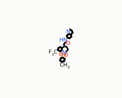 Cc1ccc(S(=O)(=O)N2CCC/C(=C\C(=O)Nc3ccc4cccnc4c3)c3ccc(C(F)(F)F)cc32)cc1